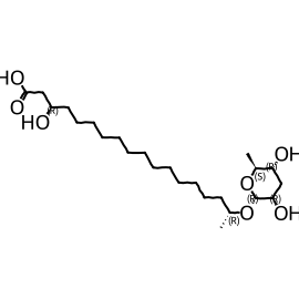 C[C@H](CCCCCCCCCCCCC[C@@H](O)CC(=O)O)O[C@@H]1O[C@@H](C)[C@H](O)C[C@H]1O